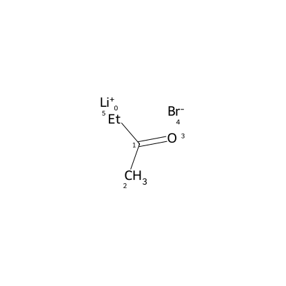 CCC(C)=O.[Br-].[Li+]